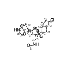 CC(=O)NCCN([C@H]1CCN([C@](C)(C=O)C2CNCCO2)C1=O)S(=O)(=O)c1ccc2cc(Cl)ccc2c1